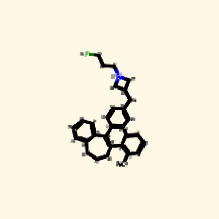 Cc1cccc(C#N)c1C1=C(c2ccc(CC3CN(CCCF)C3)cc2)c2ccccc2CCC1